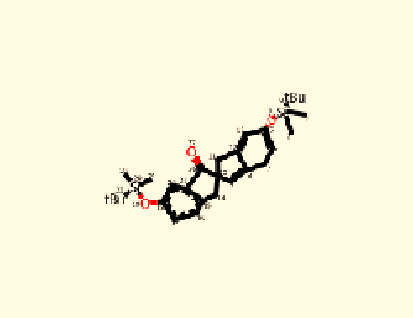 CC(C)(C)[Si](C)(C)OC1=CCC2=CC3(CC2=C1)Cc1ccc(O[Si](C)(C)C(C)(C)C)cc1C3=O